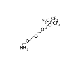 NCCOCCOCCOCCOC(C(F)(F)F)(C(F)(F)F)C(F)(F)F